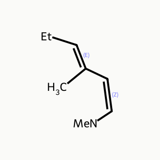 CC/C=C(C)/C=C\NC